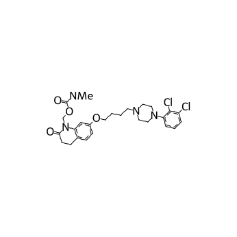 CNC(=O)OCN1C(=O)CCc2ccc(OCCCCN3CCN(c4cccc(Cl)c4Cl)CC3)cc21